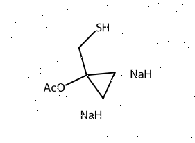 CC(=O)OC1(CS)CC1.[NaH].[NaH]